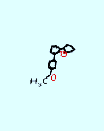 CCC(=O)c1ccc(-c2cccc3c2oc2ccccc23)cc1